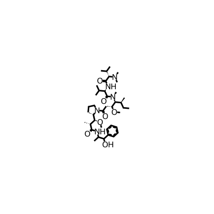 CC[C@H](C)[C@@H]([C@@H](CC(=O)N1CCC[C@H]1[C@H](OC)[C@@H](C)C(=O)NC(C)C(O)c1ccccc1)OC)N(C)C(=O)[C@@H](NC(=O)[C@H](C(C)C)N(C)C)C(C)C